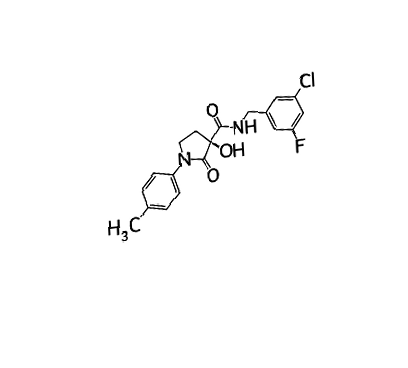 Cc1ccc(N2CC[C@](O)(C(=O)NCc3cc(F)cc(Cl)c3)C2=O)cc1